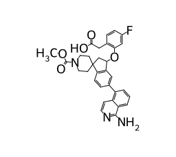 COC(=O)N1CCC2(CC1)CC(Oc1cc(F)ccc1CC(=O)O)c1cc(-c3cccc4c(N)nccc34)ccc12